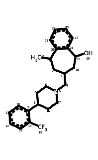 CC1CC(CN2CCC(c3ccccc3C(F)(F)F)CC2)CC(O)c2ccccc21